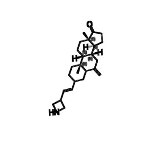 C=C1C[C@@H]2[C@@H](CC[C@]3(C)C(=O)CC[C@@H]23)[C@@]2(C)CCC(C=CC3CNC3)CC12